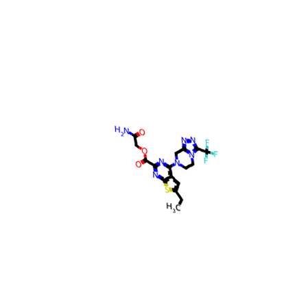 CCc1cc2c(N3CCn4c(nnc4C(F)(F)F)C3)nc(C(=O)OCC(N)=O)nc2s1